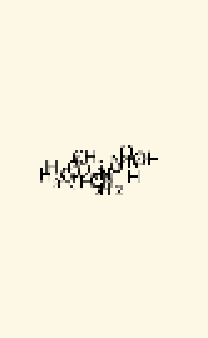 C=C[C@]1(C)CC[C@@H](C(=C)CNc2ccc(C(=O)NO)nc2)C[C@H]1C(=C)C